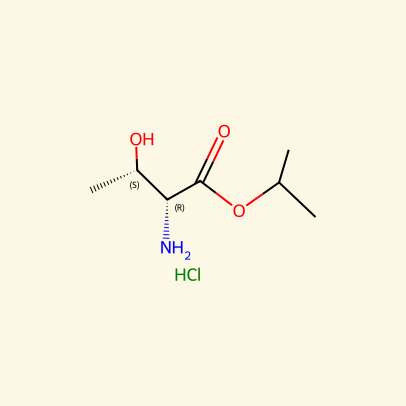 CC(C)OC(=O)[C@H](N)[C@H](C)O.Cl